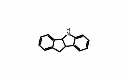 c1ccc2c(c1)CC1c3ccccc3NC21